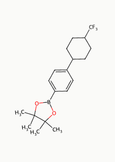 CC1(C)OB(c2ccc(C3CCC(C(F)(F)F)CC3)cc2)OC1(C)C